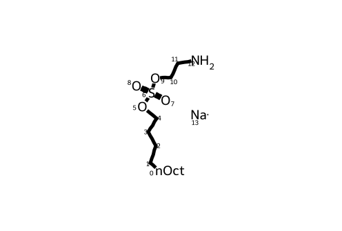 CCCCCCCCCCCCOS(=O)(=O)OCCN.[Na]